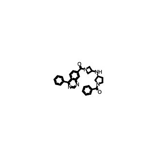 O=C(c1ccc2c(-c3ccccc3)ncnc2c1)N1CC(N[C@H]2CCN(C(=O)c3ccccc3)C2)C1